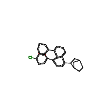 Clc1ccc(-c2ccc(C3CC4CCC3C4)c3cccc(-c4ccccc4)c23)cc1